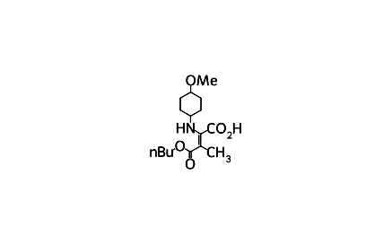 CCCCOC(=O)C(C)=C(NC1CCC(OC)CC1)C(=O)O